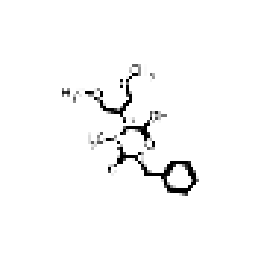 COCC(COC)[C@@H](C(=O)O)N(C)C(=O)OCc1ccccc1